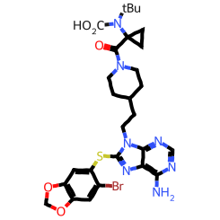 CC(C)(C)N(C(=O)O)C1(C(=O)N2CCC(CCn3c(Sc4cc5c(cc4Br)OCO5)nc4c(N)ncnc43)CC2)CC1